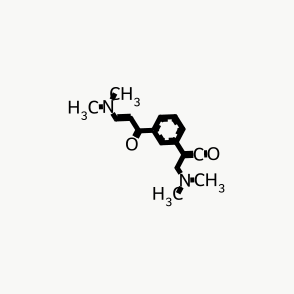 CN(C)C=CC(=O)c1cccc(C(=C=O)CN(C)C)c1